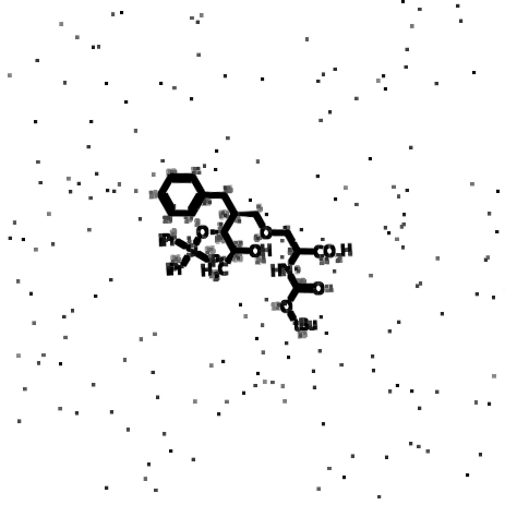 CC(C)[Si](O[C@H]([C@H](COCC(NC(=O)OC(C)(C)C)C(=O)O)Cc1ccccc1)[C@H](C)O)(C(C)C)C(C)C